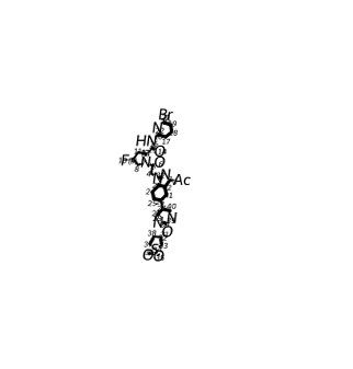 CC(=O)c1nn(CC(=O)N2C[C@H](F)C[C@H]2C(=O)Nc2cccc(Br)n2)c2ccc(-c3cnc(OC4=CS(=O)(=O)C=C4)nc3)cc12